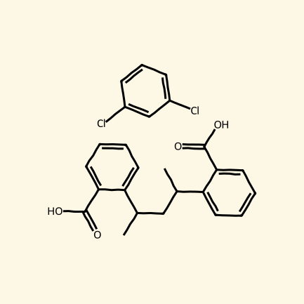 CC(CC(C)c1ccccc1C(=O)O)c1ccccc1C(=O)O.Clc1cccc(Cl)c1